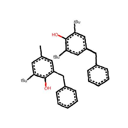 CC(C)(C)c1cc(Cc2ccccc2)cc(C(C)(C)C)c1O.Cc1cc(Cc2ccccc2)c(O)c(C(C)(C)C)c1